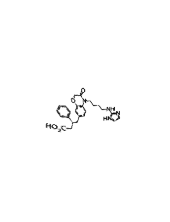 O=C(O)CC(Cc1ccc2c(c1)OCC(=O)N2CCCCNc1ncc[nH]1)c1ccccc1